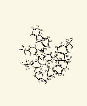 CC(C)(C)c1ccc2c(c1)B1c3cc(C(C)(C)C)ccc3N(c3cccc4sc5ccccc5c34)c3cc(N4c5ccc(C(C)(C)C)cc5C5(C)CCc6ccccc6C45C)cc(c31)N2c1cccc2c1sc1ccccc12